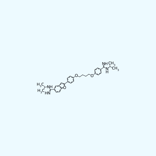 CC(C)NC(=N)c1ccc(OCCCCOc2ccc(-c3cc4cc(C(=N)NC(C)C)ccc4o3)cc2)cc1